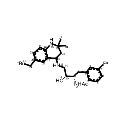 CC(=O)N[C@@H](Cc1cccc(F)c1)[C@H](O)CNC1CC(C)(C)Nc2ccc(CC(C)(C)C)cc21